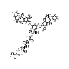 COC(=O)C1CCC(C(=O)NCC(=O)NCC(=O)NCC(=O)Nc2cc(COc3cc4c(cc3OC)C(=O)N3c5ccccc5C[C@H]3C=N4)cc(COc3cc4c(cc3OC)C(=O)N3c5ccccc5C[C@H]3C=N4)c2)CC1